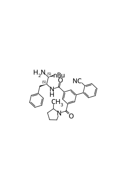 CCCC[C@H](N)[C@H](Cc1ccccc1)NC(=O)c1cc(C(=O)N2CCCC2C)cc(-c2ccccc2C#N)c1